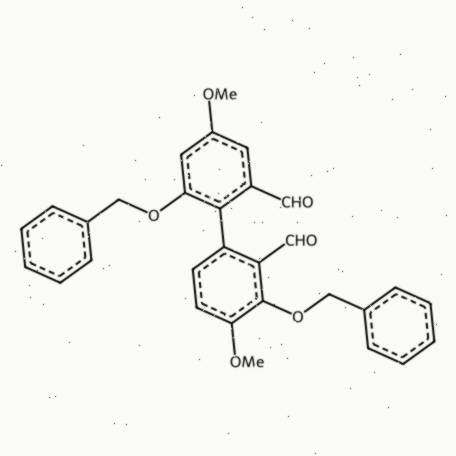 COc1cc(C=O)c(-c2ccc(OC)c(OCc3ccccc3)c2C=O)c(OCc2ccccc2)c1